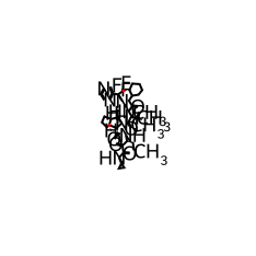 CCC[C@H](NC(=O)[C@@H]1[C@H]2CCC[C@H]2CN1C(=O)[C@@H](NC(=O)[C@@H](NC(c1cnccn1)C(F)(F)F)C1CCCCC1)C(C)(C)C)C(=O)C(=O)NC1CC1